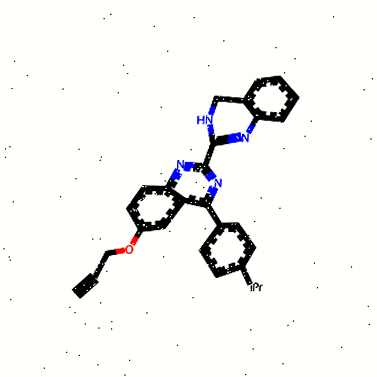 C#CCOc1ccc2nc(C3=Nc4ccccc4CN3)nc(-c3ccc(C(C)C)cc3)c2c1